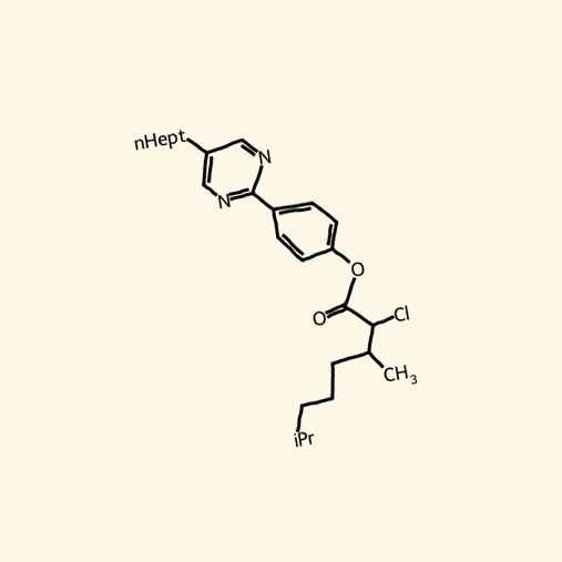 CCCCCCCc1cnc(-c2ccc(OC(=O)C(Cl)C(C)CCCC(C)C)cc2)nc1